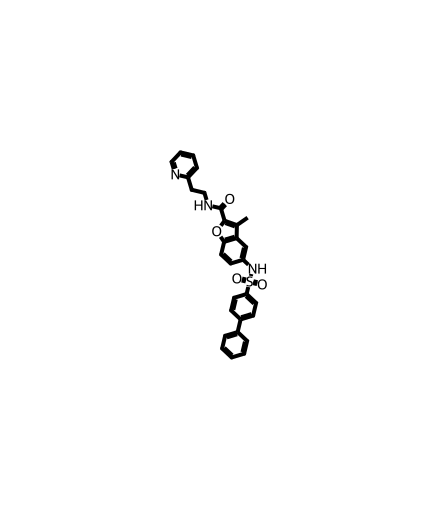 Cc1c(C(=O)NCCc2ccccn2)oc2ccc(NS(=O)(=O)c3ccc(-c4ccccc4)cc3)cc12